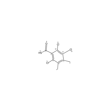 Cc1c(C)c(Cl)c(C(=O)S)c(Cl)c1Cl